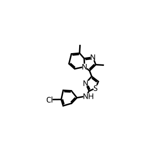 Cc1nc2c(C)cccn2c1-c1csc(Nc2ccc(Cl)cc2)n1